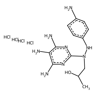 CC(O)CN(Nc1ccc(N)cc1)c1nc(N)c(N)c(N)n1.Cl.Cl.Cl.Cl